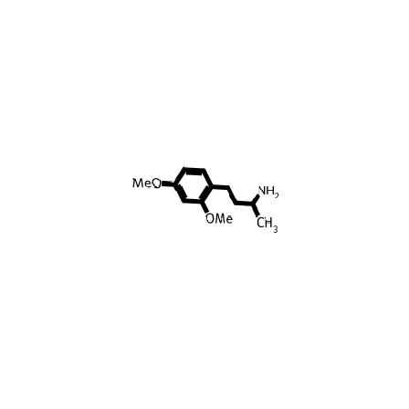 COc1ccc(CCC(C)N)c(OC)c1